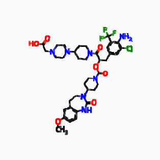 COc1ccc2c(c1)CCN(C1CCN(C(=O)OC(Cc3cc(Cl)c(N)c(C(F)(F)F)c3)C(=O)N3CCC(N4CCN(CC(=O)O)CC4)CC3)CC1)C(=O)N2